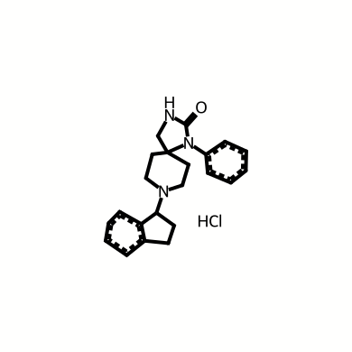 Cl.O=C1NCC2(CCN(C3CCc4ccccc43)CC2)N1c1ccccc1